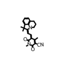 CC1=C(C#N)C(=O)N(C)C(=O)/C1=C\C=C1/N2CCCc3cccc(c32)C1(C)C